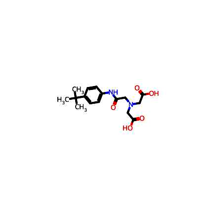 CC(C)(C)c1ccc(NC(=O)CN(CC(=O)O)CC(=O)O)cc1